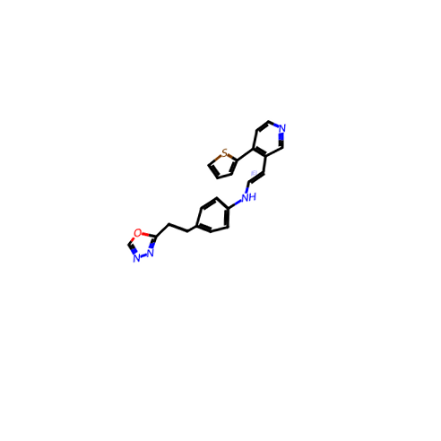 C(=C\c1cnccc1-c1cccs1)/Nc1ccc(CCc2nnco2)cc1